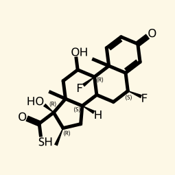 C[C@@H]1C[C@H]2C3C[C@H](F)C4=CC(=O)C=CC4(C)[C@@]3(F)C(O)CC2(C)[C@@]1(O)C(=O)S